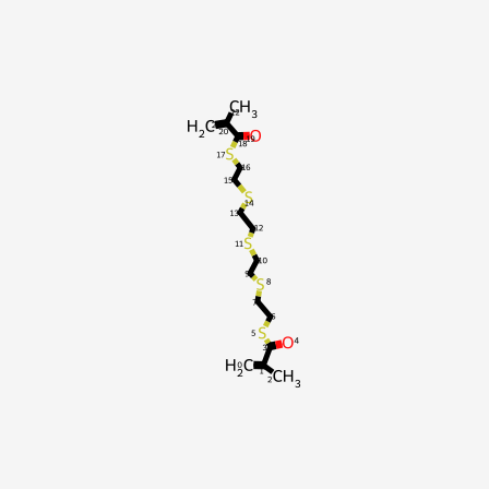 C=C(C)C(=O)SCCSCCSCCSCCSC(=O)C(=C)C